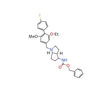 CCOc1cc(CN2CC[C@H]3C(NC(=O)OCc4ccccc4)CC[C@H]32)cc(OC)c1-c1ccc(F)cc1